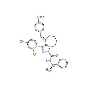 COc1ccc(/C=C2\CCCCc3c(C(=O)N[C@H](C)c4ccccc4)nn(-c4ccc(Cl)cc4Cl)c32)cc1